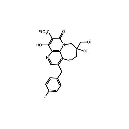 CCOC(=O)c1c(O)c2ncc(Cc3ccc(F)cc3)c3c2n(c1=O)CC(O)(CO)CO3